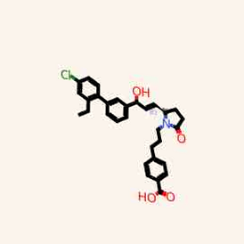 CCc1cc(Cl)ccc1-c1cccc(C(O)/C=C/[C@H]2CCC(=O)N2CCCc2ccc(C(=O)O)cc2)c1